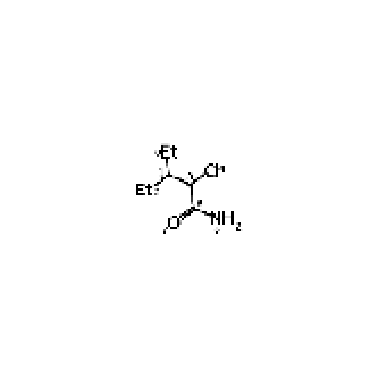 CCC(CC)C(Cl)C(N)=O